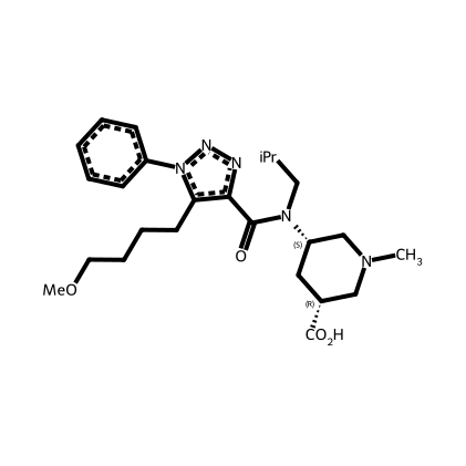 COCCCCc1c(C(=O)N(CC(C)C)[C@H]2C[C@@H](C(=O)O)CN(C)C2)nnn1-c1ccccc1